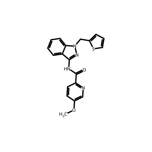 COc1ccc(C(=O)Nc2nn(Cc3cccs3)c3ccccc23)nc1